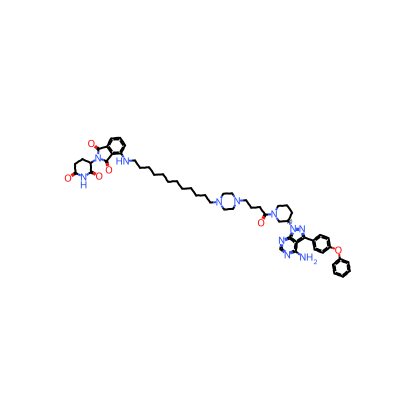 Nc1ncnc2c1c(-c1ccc(Oc3ccccc3)cc1)nn2[C@@H]1CCCN(C(=O)CCCN2CCN(CCCCCCCCCCCCNc3cccc4c3C(=O)N(C3CCC(=O)NC3=O)C4=O)CC2)C1